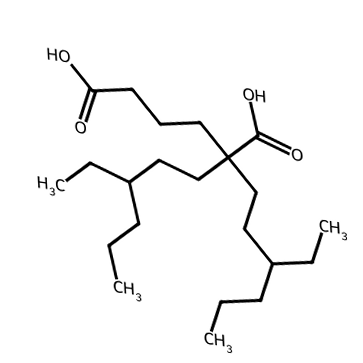 CCCC(CC)CCC(CCCC(=O)O)(CCC(CC)CCC)C(=O)O